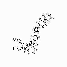 CSCC[C@H](NC(=O)C1(NC(=O)c2ccc(-c3csc(N4CCC(N5CCOCC5)CC4)n3)cc2)CCCCC1)C(=O)O